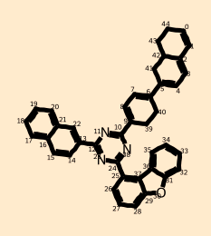 C1=CC2=CC=C(C3=CC=C(c4nc(-c5ccc6ccccc6c5)nc(-c5cccc6oc7ccccc7c56)n4)CC3)CC2CC1